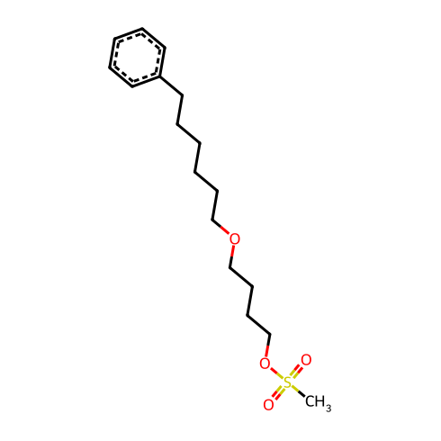 CS(=O)(=O)OCCCCOCCCCCCc1ccccc1